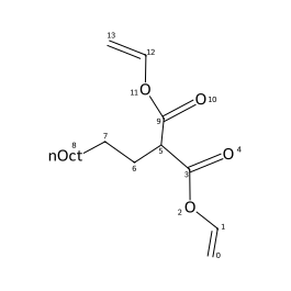 C=COC(=O)C(CCCCCCCCCC)C(=O)OC=C